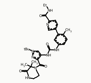 CCNC(=O)c1ccc(-c2cc(NC(=O)Nc3cn(C(C)(C)C)nc3C(=O)N3CCNC(=O)C3(C)C)ccc2C)cn1